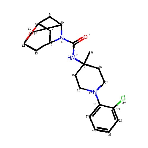 CC1(NC(=O)N2C3CC4CC2CC(C3)O4)CCN(c2ccccc2Cl)CC1